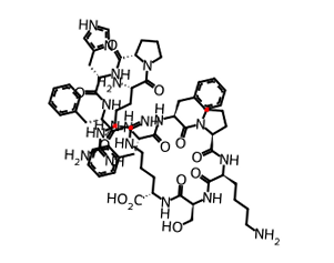 N=C(N)NCCC[C@H](NC(=O)[C@H](CO)NC(=O)[C@H](CCCCN)NC(=O)[C@@H]1CCCN1C(=O)[C@H](Cc1ccccc1)NC(=O)[C@H](Cc1ccccc1)NC(=O)[C@H](Cc1ccccc1)NC(=O)[C@H](Cc1c[nH]cn1)NC(=O)[C@@H]1CCCN1C(=O)[C@@H](N)CCCNC(=N)N)C(=O)O